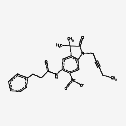 CCC#CCN1C(=O)C(C)(C)c2cc(NC(=O)CCc3ccccc3)c([N+](=O)[O-])cc21